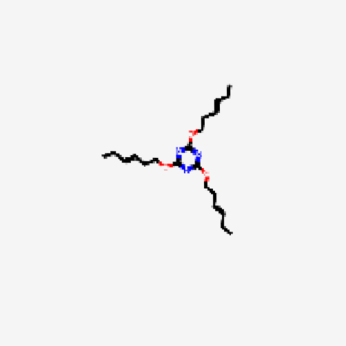 CCC=CCCOc1nc(OCCC=CCC)nc(OCCC=CCC)n1